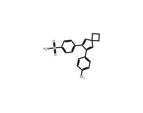 NS(=O)(=O)c1ccc(C2=CC3(C=C2c2ccc(C(F)(F)F)cc2)CCC3)cc1